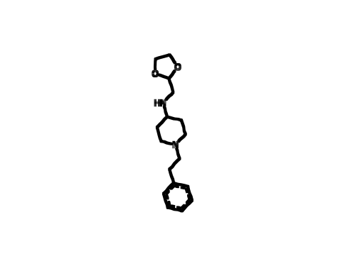 c1ccc(CCN2CCC(NCC3OCCO3)CC2)cc1